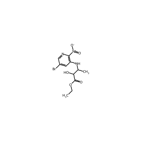 CCOC(=O)C(O)C(C)Nc1cc(Br)cnc1[N+](=O)[O-]